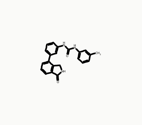 Cc1cccc(NC(=O)Nc2cccc(-c3cccc4c3CNC4=O)c2)c1